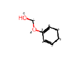 OCOC1=CCCC=C1